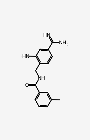 Cc1cccc(C(=O)NCc2ccc(C(=N)N)cc2[NH])c1